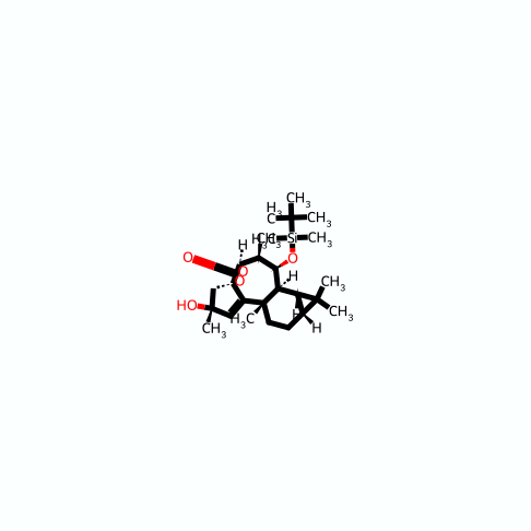 C[C@H]1[C@@H](O[Si](C)(C)C(C)(C)C)[C@H]2[C@H]3[C@@H](CC[C@]2(C)C2=C[C@](C)(O)C[C@]24OC(=O)O[C@H]14)C3(C)C